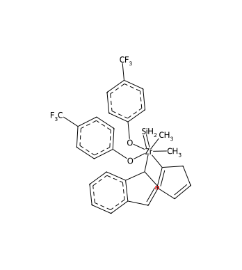 [CH3][Zr]([CH3])(=[SiH2])([O]c1ccc(C(F)(F)F)cc1)([O]c1ccc(C(F)(F)F)cc1)([C]1=CC=CC1)[CH]1C=Cc2ccccc21